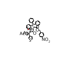 CC(=O)OC(c1ccsc1)C1C(=O)N(C(C(=O)OCc2ccc([N+](=O)[O-])cc2)=P(c2ccccc2)(c2ccccc2)c2ccccc2)C1[S-].[Ag+]